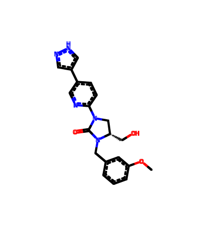 COc1cccc(CN2C(=O)N(c3ccc(-c4cn[nH]c4)cn3)C[C@@H]2CO)c1